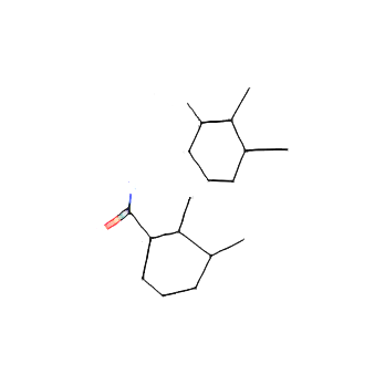 CC1CCCC(C(=O)O)C1C.CC1CCCC(C(N)=O)C1C